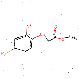 COC(=O)COC1=CCC(P)C=C1O